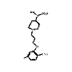 COc1ccc(F)cc1OCCCN1CCC(N(C(=O)O)C(C)(C)C)CC1